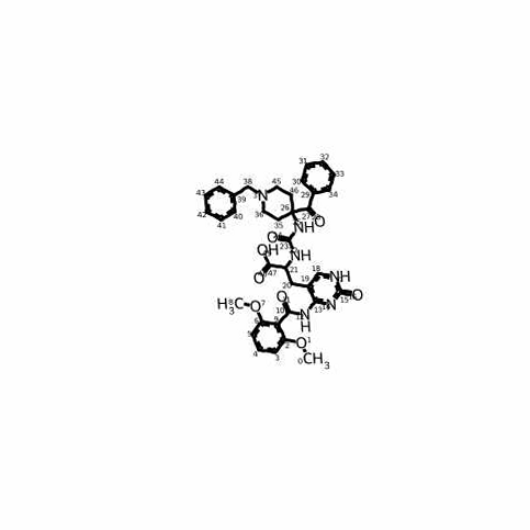 COc1cccc(OC)c1C(=O)Nc1nc(=O)[nH]cc1CC(NC(=O)NC1(C(=O)c2ccccc2)CCN(Cc2ccccc2)CC1)C(=O)O